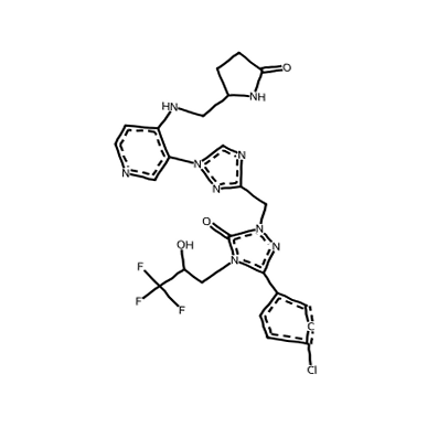 O=C1CCC(CNc2ccncc2-n2cnc(Cn3nc(-c4ccc(Cl)cc4)n(CC(O)C(F)(F)F)c3=O)n2)N1